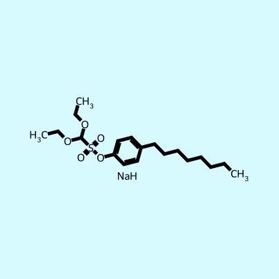 CCCCCCCCc1ccc(OS(=O)(=O)C(OCC)OCC)cc1.[NaH]